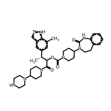 Cc1cc([C@@H](C)C(OC(=O)N2CCC(N3CCc4ccccc4NC3=O)CC2)C(=O)N2CCC(N3CCNCC3)CC2)cc2cn[nH]c12